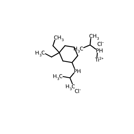 CC(C)[PH][Ti+2].CCC1(CC)CCCC(PC(C)C)C1.[Cl-].[Cl-]